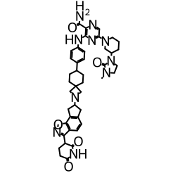 CN1CCN(C2CCCN(c3cnc(C(N)=O)c(Nc4ccc(C5CCC6(CC5)CN(C5Cc7ccc8c(C9CCC(=O)NC9=O)noc8c7C5)C6)cc4)n3)C2)C1=O